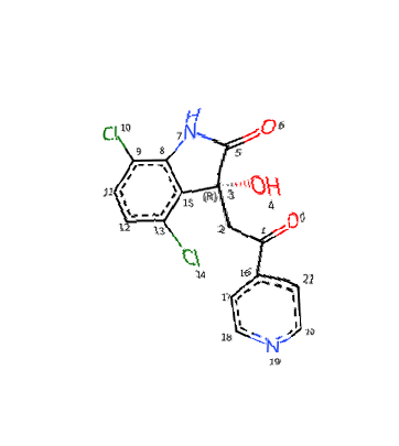 O=C(C[C@]1(O)C(=O)Nc2c(Cl)ccc(Cl)c21)c1ccncc1